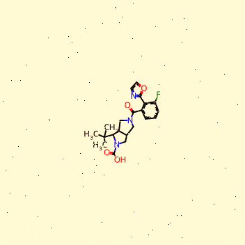 CC(C)(C)C1C2CN(C(=O)c3cccc(F)c3-c3ncco3)CC2CN1C(=O)O